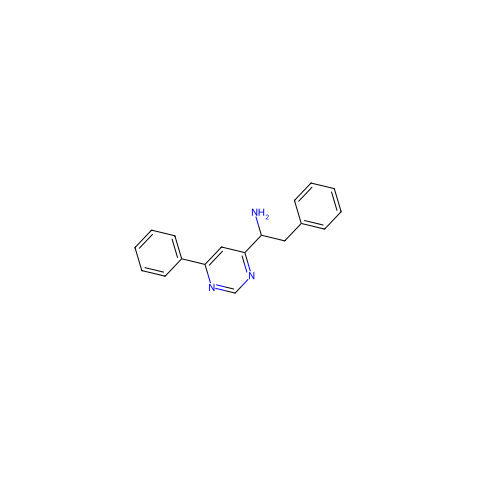 NC(Cc1ccccc1)c1cc(-c2ccccc2)ncn1